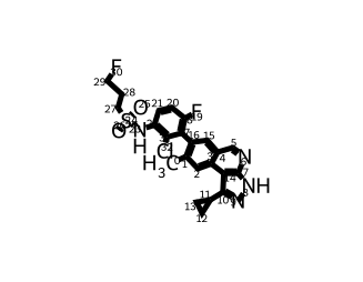 Cc1cc2c(cnc3[nH]nc(C4CC4)c32)cc1-c1c(F)ccc(NS(=O)(=O)CCCF)c1Cl